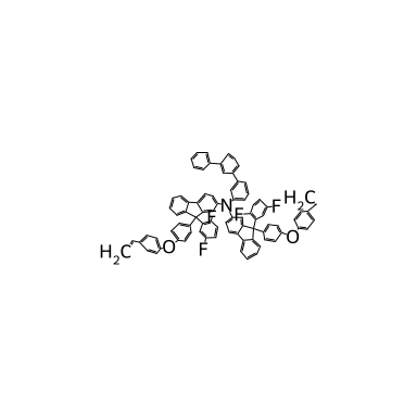 C=Cc1ccc(Oc2ccc(C3(c4cc(F)ccc4F)c4ccccc4-c4ccc(N(c5cccc(-c6cccc(-c7ccccc7)c6)c5)c5ccc6c(c5)C(c5ccc(Oc7ccc(C=C)cc7)cc5)(c5cc(F)ccc5F)c5ccccc5-6)cc43)cc2)cc1